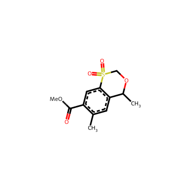 COC(=O)c1cc2c(cc1C)C(C)OCS2(=O)=O